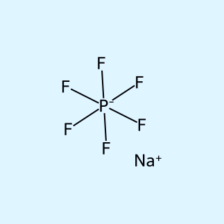 F[P-](F)(F)(F)(F)F.[Na+]